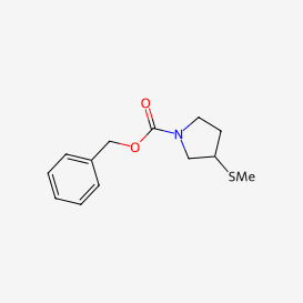 CSC1CCN(C(=O)OCc2ccccc2)C1